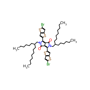 CCCCCCCCC(CCCCCC)CN1C(=O)C2=C(c3cc4sc(Br)cc4s3)N(CC(CCCCCC)CCCCCCCC)C(=O)C2=C1c1cc2sc(Br)cc2s1